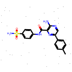 Cc1ccc(-c2cnc(N)c(C(=O)Nc3ccc(S(N)(=O)=O)cc3)n2)cc1